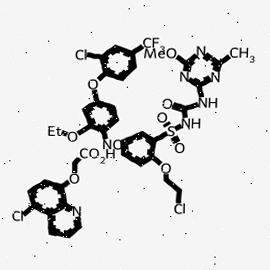 CCOc1cc(Oc2ccc(C(F)(F)F)cc2Cl)ccc1[N+](=O)[O-].COc1nc(C)nc(NC(=O)NS(=O)(=O)c2ccccc2OCCCl)n1.O=C(O)COc1ccc(Cl)c2cccnc12